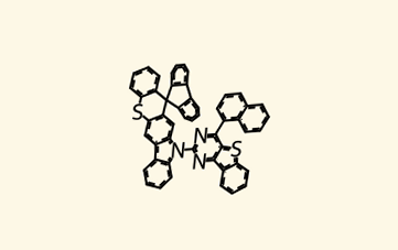 c1ccc2c(c1)Sc1cc3c4ccccc4n(-c4nc(-c5cccc6ccccc56)c5sc6ccccc6c5n4)c3cc1C21c2ccccc2-c2ccccc21